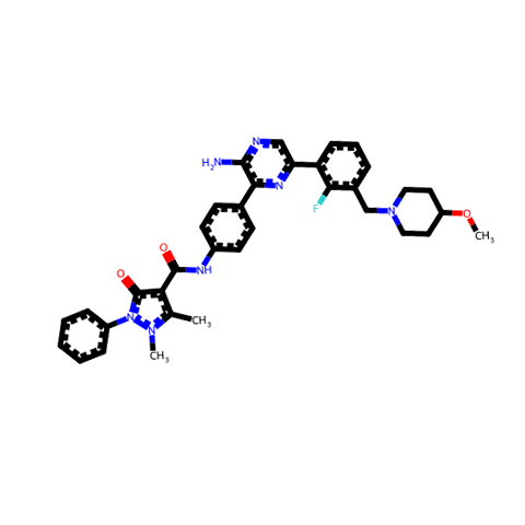 COC1CCN(Cc2cccc(-c3cnc(N)c(-c4ccc(NC(=O)c5c(C)n(C)n(-c6ccccc6)c5=O)cc4)n3)c2F)CC1